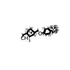 CCC12CCC(COc3ccc(S(F)(F)(F)(F)F)cc3)(CC1)CC2